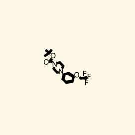 CC(C)(C)OC(=O)N1CCN(c2cccc(OCC(F)(F)F)c2)CC1